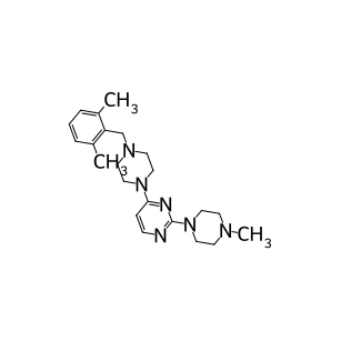 Cc1cccc(C)c1CN1CCN(c2ccnc(N3CCN(C)CC3)n2)CC1